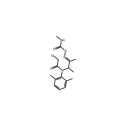 CNC(=O)ON=C(C)C(C)N(C(=O)CCl)c1c(C)cccc1C